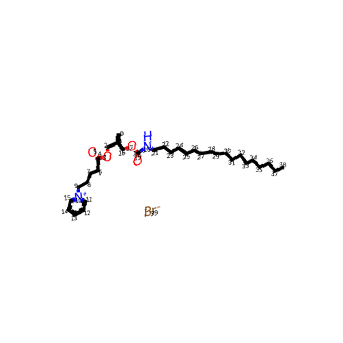 C=C(COC(=O)CCCC[n+]1ccccc1)COC(=O)NCCCCCCCCCCCCCCCCCC.[Br-]